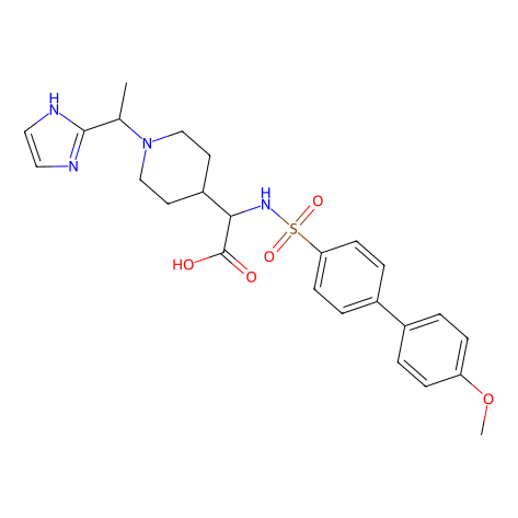 COc1ccc(-c2ccc(S(=O)(=O)NC(C(=O)O)C3CCN(C(C)c4ncc[nH]4)CC3)cc2)cc1